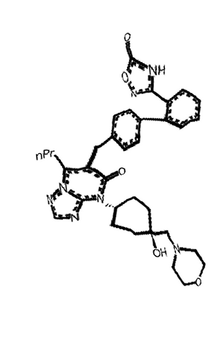 CCCc1c(Cc2ccc(-c3ccccc3-c3noc(=O)[nH]3)cc2)c(=O)n([C@H]2CC[C@@](O)(CN3CCOCC3)CC2)c2ncnn12